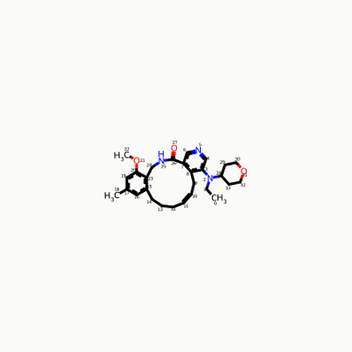 CCN(c1cncc2c1CC=CCCCc1cc(C)cc(OC)c1CNC2=O)C1CCOCC1